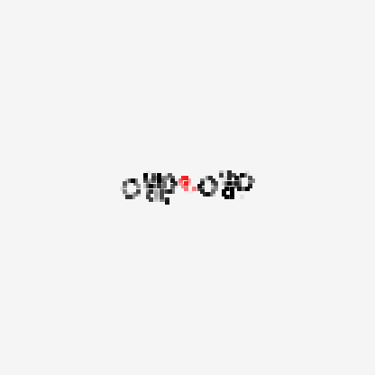 CC(C)(c1ccccc1)c1ccc(OOc2ccc(C(C)(C)c3ccccc3)cc2)cc1